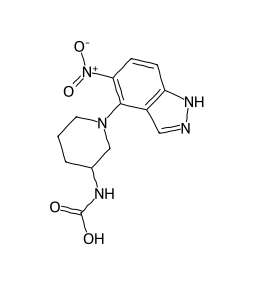 O=C(O)NC1CCCN(c2c([N+](=O)[O-])ccc3[nH]ncc23)C1